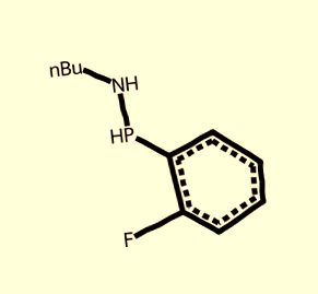 CCCCNPc1ccccc1F